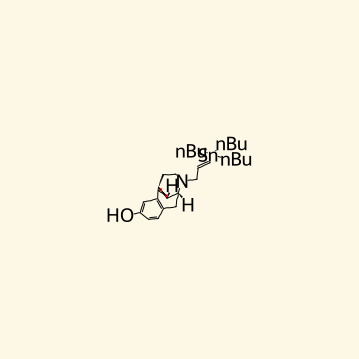 CCC[CH2][Sn]([CH]=CCN1CC[C@]23CCCC[C@H]2[C@H]1Cc1ccc(O)cc13)([CH2]CCC)[CH2]CCC